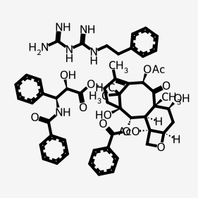 CC(=O)O[C@H]1C(=O)[C@@]2(C)[C@H]([C@H](OC(=O)c3ccccc3)[C@]3(O)C[C@H](OC(=O)[C@H](O)[C@@H](NC(=O)c4ccccc4)c4ccccc4)C(C)=C1C3(C)C)[C@]1(OC(C)=O)CO[C@@H]1C[C@@H]2O.N=C(N)NC(=N)NCCc1ccccc1